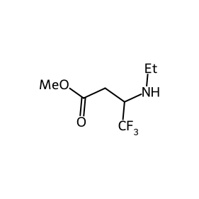 CCNC(CC(=O)OC)C(F)(F)F